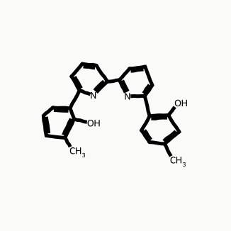 Cc1ccc(-c2cccc(-c3cccc(-c4cccc(C)c4O)n3)n2)c(O)c1